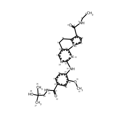 CCNC(=O)c1ccn2c1CCc1cnc(Nc3ccc(C(=O)NCC(C)(C)O)cc3OC)nc1-2